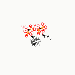 C=COP(=O)([O-])C(O)P(=O)([O-])[O-].C=COP(=O)([O-])C(O)P(=O)([O-])[O-].[Pb+2].[Pb+2].[Pb+2]